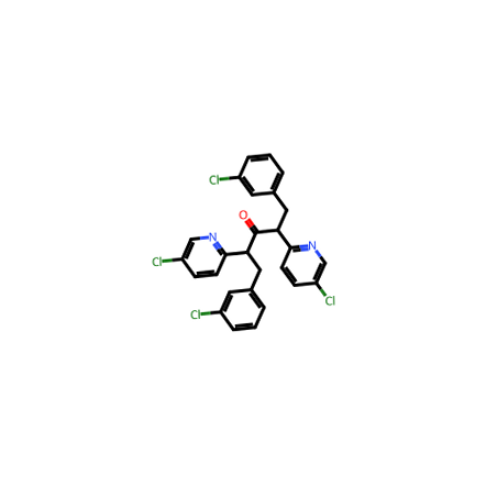 O=C(C(Cc1cccc(Cl)c1)c1ccc(Cl)cn1)C(Cc1cccc(Cl)c1)c1ccc(Cl)cn1